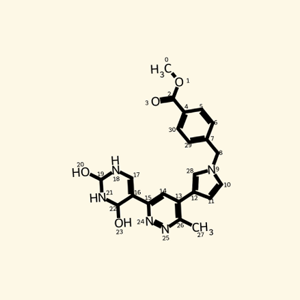 COC(=O)c1ccc(Cn2ccc(-c3cc(C4=CNC(O)NC4O)nnc3C)c2)cc1